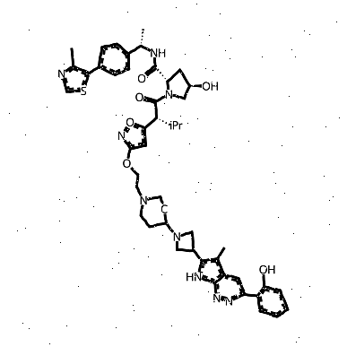 Cc1ncsc1-c1ccc([C@H](C)NC(=O)[C@@H]2C[C@@H](O)CN2C(=O)[C@@H](c2cc(OCCN3CCC(N4CC(c5[nH]c6nnc(-c7ccccc7O)cc6c5C)C4)CC3)no2)C(C)C)cc1